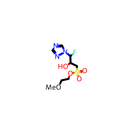 COCCOS(=O)(=O)CC(O)C(F)n1cncn1